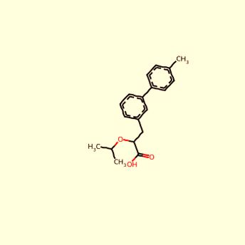 Cc1ccc(-c2cccc(CC(OC(C)C)C(=O)O)c2)cc1